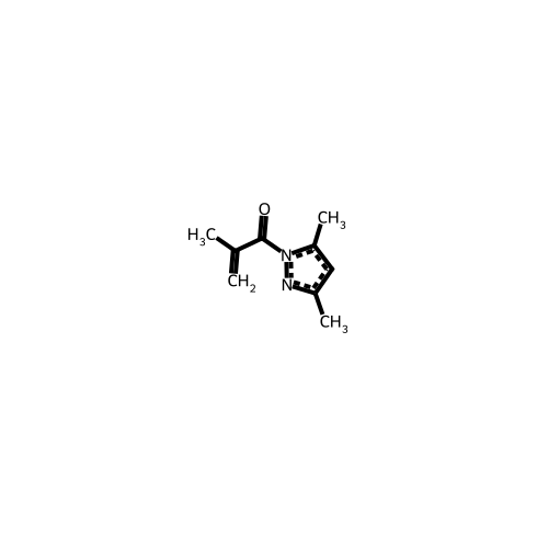 C=C(C)C(=O)n1nc(C)cc1C